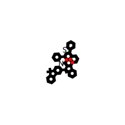 CC1(C)c2ccccc2-c2cc3c(cc21)N(c1ccccc1-c1cc2ccccc2c2c1sc1ccccc12)c1cccc2c1C3(C)c1ccccc1-2